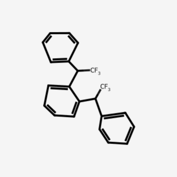 FC(F)(F)C(c1ccccc1)c1ccccc1C(c1ccccc1)C(F)(F)F